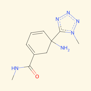 CNC(=O)C1=CC=CC(N)(c2nnnn2C)C1